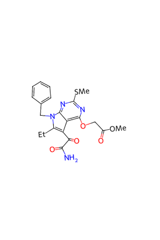 CCc1c(C(=O)C(N)=O)c2c(OCC(=O)OC)nc(SC)nc2n1Cc1ccccc1